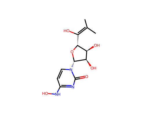 CC(C)=C(O)[C@H]1O[C@@H](n2ccc(NO)nc2=O)[C@H](O)[C@@H]1O